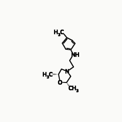 Cc1ccc(NCCN2C[C@@H](C)O[C@@H](C)C2)cc1